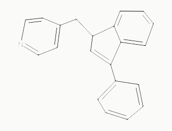 C1=C(c2ccccc2)c2ccccc2C1Cc1ccncc1